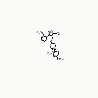 C[C@@H]1CC2CC(OCc3c(-c4ccccc4OC(F)(F)F)noc3C3CC3)CC1N2c1cnc(C(=O)O)cn1